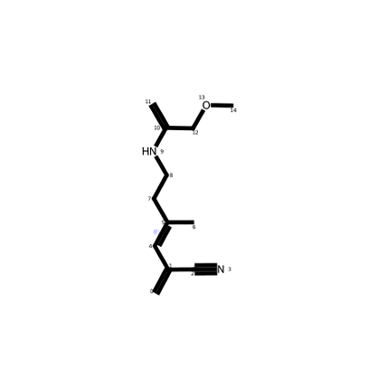 C=C(C#N)/C=C(\C)CCNC(=C)COC